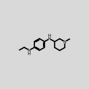 CCNc1ccc(NC2CCCN(C)C2)cc1